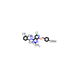 COc1ccc(COc2nc(Cl)cc3c(N[C@H](C)c4cccc(C(F)(F)F)c4C)nc(C)nc23)cc1